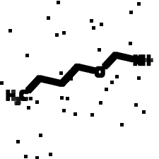 CCCCOC[NH]